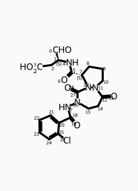 O=C[C@H](CC(=O)O)NC(=O)[C@@H]1CCCN2C(=O)CCN(NC(=O)c3ccccc3Cl)C(=O)N12